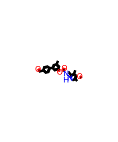 COc1c(C)cnc(CNC(=O)Oc2cc(C)cc(-c3ccc(C=O)cc3)c2)c1C